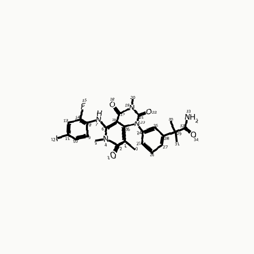 Cc1c(=O)n(C)c(Nc2ccc(I)cc2F)c2c(=O)n(C)c(=O)n(-c3cccc(C(C)(C)C(N)=O)c3)c12